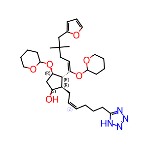 CC(C)(CC=C(OC1CCCCO1)[C@@H]1[C@@H](C/C=C\CCCc2nnn[nH]2)[C@@H](O)C[C@H]1OC1CCCCO1)Cc1ccco1